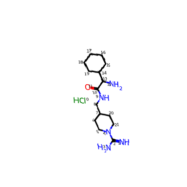 Cl.N=C(N)N1CCC(CNC(=O)C(N)C2CCCCC2)CC1